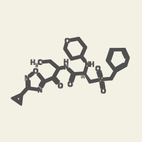 CCC(NC(=O)[C@H](CS(=O)(=O)Cc1ccccc1)NC1CCOCC1)C(=O)c1nc(C2CC2)no1